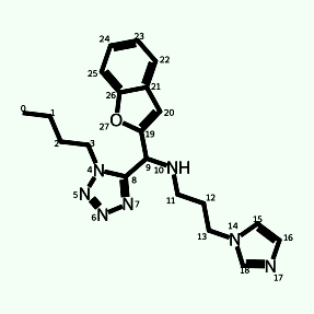 CCCCn1nnnc1C(NCCCn1ccnc1)c1cc2ccccc2o1